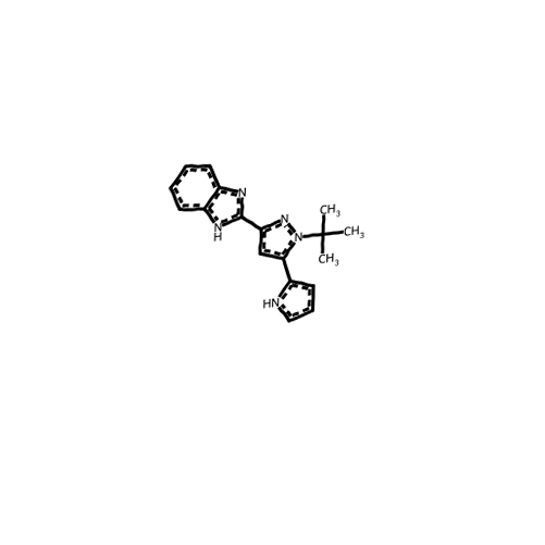 CC(C)(C)n1nc(-c2nc3ccccc3[nH]2)cc1-c1ccc[nH]1